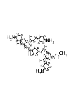 CCCNc1nc(NCCc2ccc(Nc3nc(NCCc4ccc(N)cc4)nc(Nc4cccc(N)c4)n3)cc2)nc(Nc2cccc(N)c2)n1